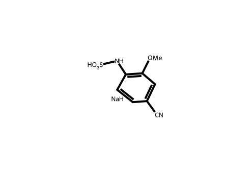 COc1cc(C#N)ccc1NS(=O)(=O)O.[NaH]